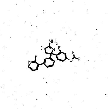 NC1=NC(c2cccc(-c3cccnc3F)c2)(c2ccc(OC(F)F)cc2F)CC1